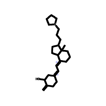 C=C1CC/C(=C/C=C2\CCCC3(C)C(CCCN4CCCC4)CCC23)CC1O